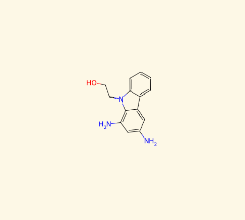 Nc1cc(N)c2c(c1)c1ccccc1n2CCO